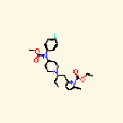 CCOC(=O)N1C(C)CCC1CC(CC)N1CCC(N(C(=O)OC)c2ccc(F)cc2)CC1